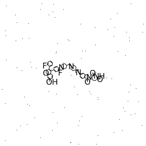 O=C1CCC(N2Cc3cc(N4CC5(CCN(CC6CCN(c7ccc(C8=C(c9ccccc9F)COc9cc(O)ccc98)cc7F)CC6)CC5)C4)ccc3C2=O)C(=O)N1